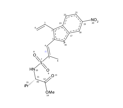 C=Cc1c(/C=C(\C)S(=O)(=O)N[C@H](C(=O)OC)C(C)C)sc2cc([N+](=O)[O-])ccc12